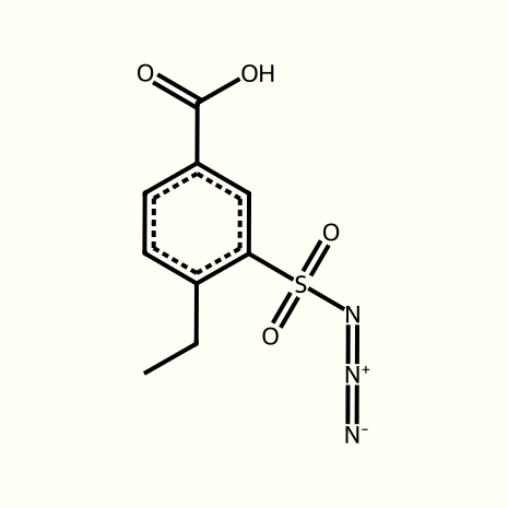 CCc1ccc(C(=O)O)cc1S(=O)(=O)N=[N+]=[N-]